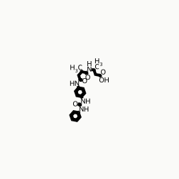 CC(CC(=O)O)NC(=O)C(C)CC(=O)Nc1ccc(NC(=O)Nc2ccccc2)cc1